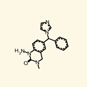 CN1Cc2cc(C(c3ccccc3)n3ccnc3)ccc2N(N)C1=O